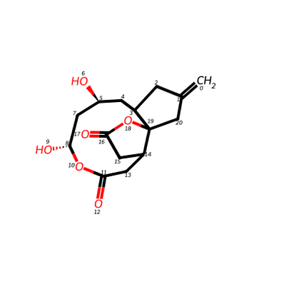 C=C1CC2C[C@H](O)C[C@@H](O)OC(=O)CC3CC(=O)OC32C1